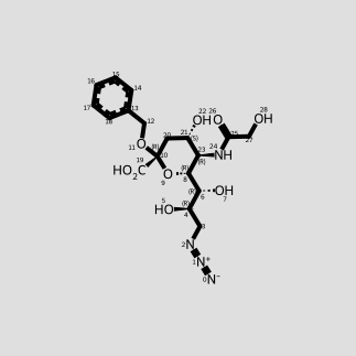 [N-]=[N+]=NC[C@@H](O)[C@@H](O)[C@@H]1O[C@@](OCc2ccccc2)(C(=O)O)C[C@H](O)[C@H]1NC(=O)CO